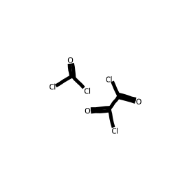 O=C(Cl)C(=O)Cl.O=C(Cl)Cl